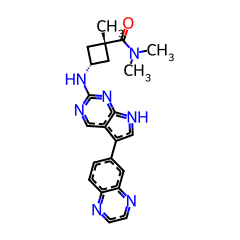 CN(C)C(=O)[C@]1(C)C[C@H](Nc2ncc3c(-c4ccc5nccnc5c4)c[nH]c3n2)C1